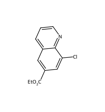 CCOC(=O)c1cc(Cl)c2ncccc2c1